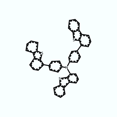 c1ccc2c(c1)sc1c(-c3ccc(N(c4ccc(-c5cccc6c5sc5ccccc56)cc4)c4cccc5c4sc4ccccc45)cc3)cccc12